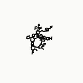 Cc1cc2cc(c1F)C(CC(=O)O)NC(=O)C(n1cc(CCN3CC(F)C3)c(C(F)(F)F)cc1=O)c1cc(Cl)cc(c1)Oc1ccc(F)c(C)c1-2